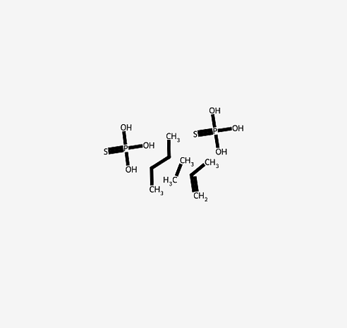 C=CC.CC.CCCC.OP(O)(O)=S.OP(O)(O)=S